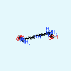 NC(=NCC(=O)O)NCCCCCCCCNCCCCCCCCNC(N)=NCC(=O)O